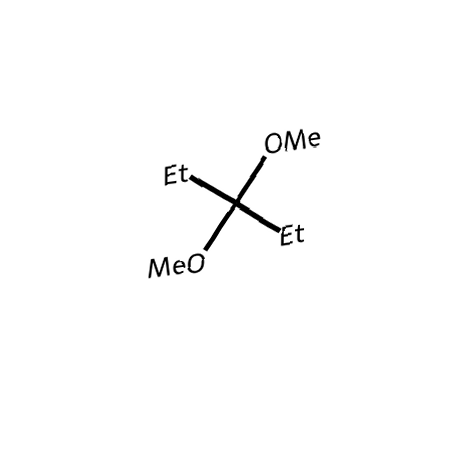 [CH2]CC(CC)(OC)OC